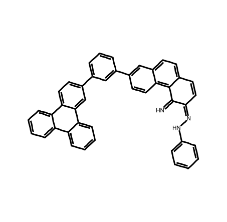 N=C1/C(=N\Nc2ccccc2)C=Cc2ccc3cc(-c4cccc(-c5ccc6c7ccccc7c7ccccc7c6c5)c4)ccc3c21